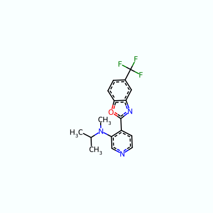 CC(C)N(C)c1cnccc1-c1nc2cc(C(F)(F)F)ccc2o1